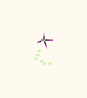 F.F.F.F.F.F.[I][Re]([I])([I])[I]